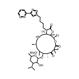 CC[C@H]1OC(=O)C(C)(F)C(=O)[C@H](C)[C@@H](O[C@@H]2OC(C)CC(N(C)C)C2O)[C@](C)(OC)C[C@@H](C)CN[C@H](C)[C@H]2N(CCCCn3cc(-c4cccnn4)nn3)C(=O)O[C@]12C